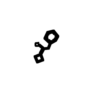 ClC(Cc1ccccc1)=C1CCC1